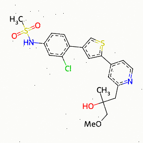 COCC(C)(O)Cc1cc(-c2cc(-c3ccc(NS(C)(=O)=O)cc3Cl)cs2)ccn1